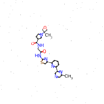 Cc1cncc(-c2cccc(-c3csc(NC(=O)CNC(=O)c4ccn(C5(C)COC5)c4)n3)n2)n1